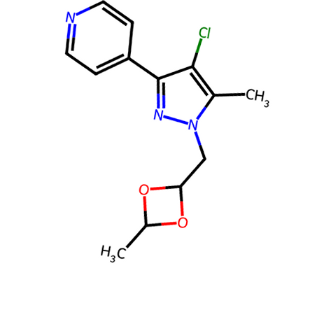 Cc1c(Cl)c(-c2ccncc2)nn1CC1OC(C)O1